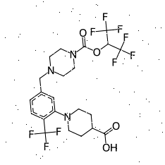 O=C(O)C1CCN(c2cc(CN3CCN(C(=O)OC(C(F)(F)F)C(F)(F)F)CC3)ccc2C(F)(F)F)CC1